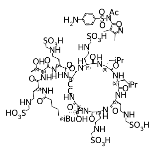 CC(=O)N(c1onc(C)c1C)S(=O)(=O)c1ccc(N)cc1.CC[C@@H](C)CCCCC(=O)N[C@@H](CCNCS(=O)(=O)O)C(=O)N[C@H](C(=O)N[C@@H](CCNCS(=O)(=O)O)C(=O)N[C@H]1CCNC(=O)[C@H]([C@@H](C)O)NC(=O)[C@H](CCNCS(=O)(=O)O)NC(=O)[C@H](CCNCS(=O)(=O)O)NC(=O)[C@H](CC(C)C)NC(=O)[C@@H](CC(C)C)NC(=O)[C@H](CCNCS(=O)(=O)O)NC1=O)[C@@H](C)O